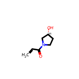 C=CC(=O)N1CC[C@@H](O)C1